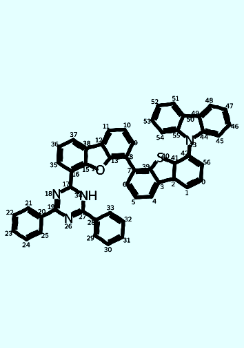 C1=CC2c3cccc(-c4cccc5c4oc4c(C6N=C(c7ccccc7)N=C(c7ccccc7)N6)cccc45)c3SC2C(n2c3ccccc3c3ccccc32)=C1